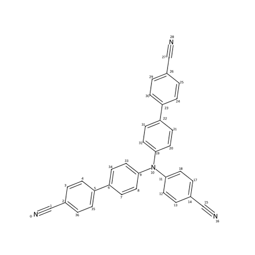 N#Cc1ccc(-c2ccc(N(c3ccc(C#N)cc3)c3ccc(-c4ccc(C#N)cc4)cc3)cc2)cc1